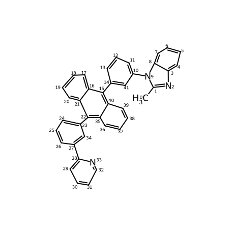 Cc1nc2ccccc2n1-c1cccc(-c2c3ccccc3c(-c3cccc(-c4ccccn4)c3)c3ccccc23)c1